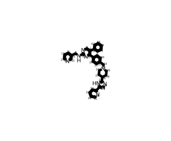 c1ccc(-c2cnc(NCc3cccnc3)nc2-c2ccc(CN3CCC(c4nnc(-c5ccccn5)[nH]4)CC3)cc2)cc1